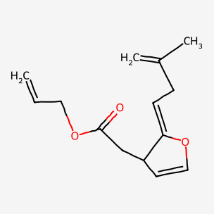 C=CCOC(=O)CC1C=COC1=CCC(=C)C